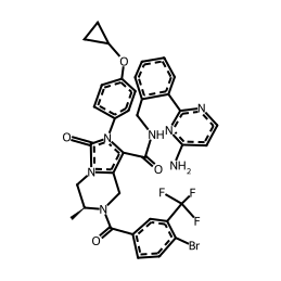 C[C@H]1Cn2c(c(C(=O)NCc3ccccc3-c3nccc(N)n3)n(-c3ccc(OC4CC4)cc3)c2=O)CN1C(=O)c1ccc(Br)c(C(F)(F)F)c1